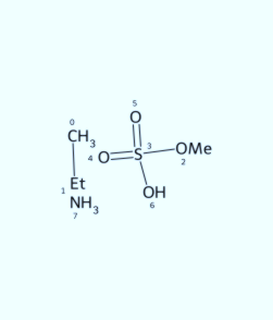 CCC.COS(=O)(=O)O.N